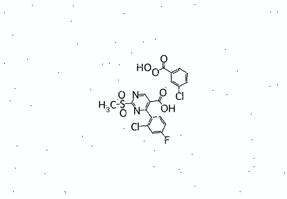 CS(=O)(=O)c1ncc(C(=O)O)c(-c2ccc(F)cc2Cl)n1.O=C(OO)c1cccc(Cl)c1